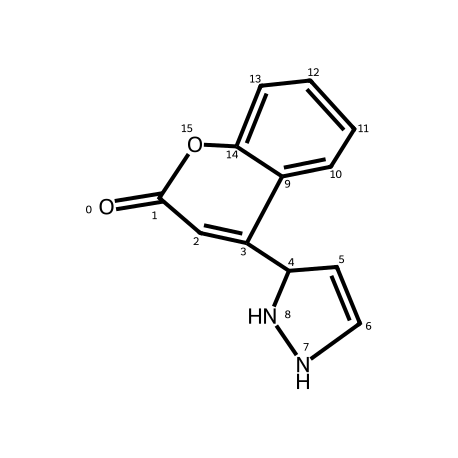 O=c1cc(C2C=CNN2)c2ccccc2o1